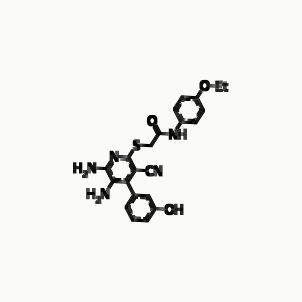 CCOc1ccc(NC(=O)CSc2nc(N)c(N)c(-c3cccc(O)c3)c2C#N)cc1